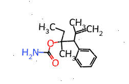 C=C(C)C(c1ccccc1)C(C)(CC)OC(N)=O